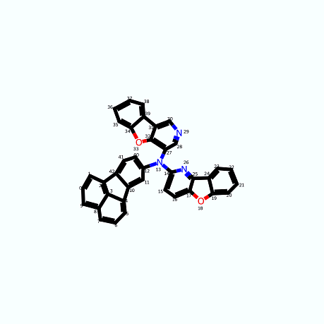 c1cc2c3c(cccc3c1)-c1cc(N(c3ccc4oc5ccccc5c4n3)c3cncc4c3oc3ccccc34)ccc1-2